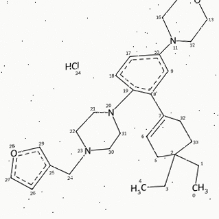 CCC1(CC)CC=C(c2cc(N3CCOCC3)ccc2N2CCN(Cc3ccoc3)CC2)CC1.Cl